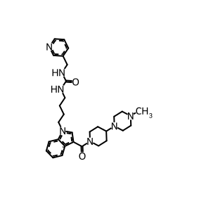 CN1CCN(C2CCN(C(=O)c3cn(CCCCNC(=O)NCc4cccnc4)c4ccccc34)CC2)CC1